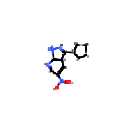 O=[N+]([O-])c1cnc2[nH]nc(C3CCCC3)c2c1